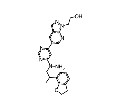 CC(CN(N)c1cc(-c2cnc3c(cnn3CCO)c2)ncn1)c1cccc2c1OCC2